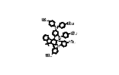 CC(C)(C)c1ccc(N2B3c4cc(C(C)(C)C)ccc4-n4c5ccc(C(C)(C)C)cc5c5c6c(c(c3c54)-c3ccc(N(c4ccc(C(C)(C)C)cc4)c4ccc(C(C)(C)C)cc4)cc32)-c2ccccc2C6(C)C)cc1